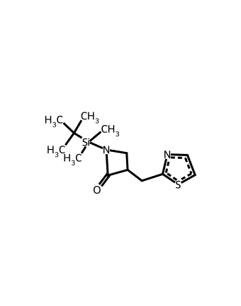 CC(C)(C)[Si](C)(C)N1CC(Cc2nccs2)C1=O